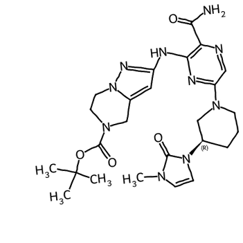 Cn1ccn([C@@H]2CCCN(c3cnc(C(N)=O)c(Nc4cc5n(n4)CCN(C(=O)OC(C)(C)C)C5)n3)C2)c1=O